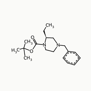 CC[C@H]1CN(Cc2ccccc2)CCN1C(=O)OC(C)(C)C